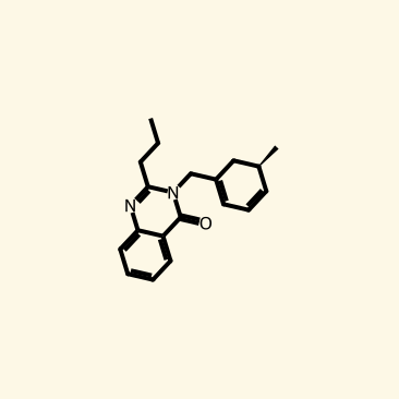 CCCc1nc2ccccc2c(=O)n1CC1=CC=C[C@H](C)C1